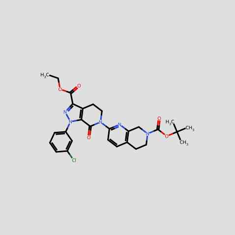 CCOC(=O)c1nn(-c2cccc(Cl)c2)c2c1CCN(c1ccc3c(n1)CN(C(=O)OC(C)(C)C)CC3)C2=O